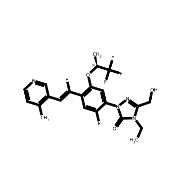 CCn1c(CO)nn(-c2cc(O[C@@H](C)C(F)(F)F)c(/C(F)=C/c3cnccc3C)cc2F)c1=O